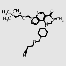 CN1CN([C@H]2CC[C@H](COCCC#N)CC2)c2c(cnc3c2ccn3COCC[Si](C)(C)C)C1=O